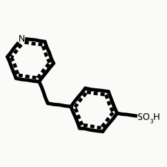 O=S(=O)(O)c1ccc(Cc2ccncc2)cc1